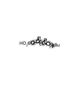 CC(C)(C)[Si](C)(C)O[C@H]1CC[C@@H](N2CC[C@@H](Cc3c(Cl)cc(-c4ccc(C(=O)O)cc4)cc3Cl)C2=O)CC1